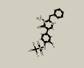 Cn1c(Cc2ccccc2)ncc(-c2ccc(OS(=O)(=O)C(F)(F)F)c(F)c2)c1=O